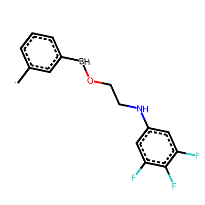 [CH2]c1cccc(BOCCNc2cc(F)c(F)c(F)c2)c1